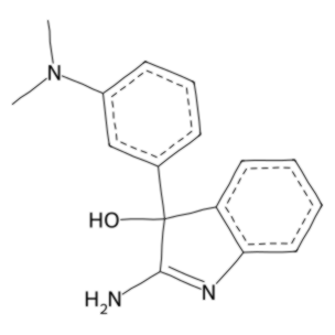 CN(C)c1cccc(C2(O)C(N)=Nc3ccccc32)c1